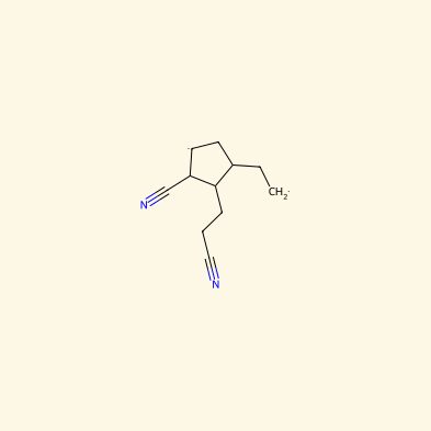 [CH2]CC1C[CH]C(C#N)C1CCC#N